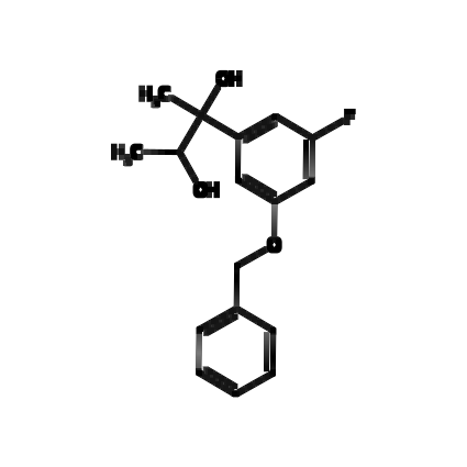 CC(O)C(C)(O)c1cc(F)cc(OCc2ccccc2)c1